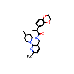 CC1CCN(c2nc(C(F)(F)F)ccc2CNC(=O)C(C)c2ccc3c(c2)OCCO3)CC1